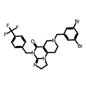 O=C1C2=C(CCN(Cc3cc(Br)cc(Br)c3)C2)N2CCN=C2N1Cc1ccc(C(F)(F)F)cc1